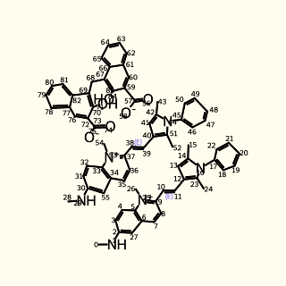 CNc1ccc2c(ccc(/C=C/c3cc(C)n(-c4ccccc4)c3C)[n+]2C)c1.CNc1ccc2c(ccc(/C=C/c3cc(C)n(-c4ccccc4)c3C)[n+]2C)c1.O=C([O-])c1cc2ccccc2c(Cc2c(O)c(C(=O)[O-])cc3ccccc23)c1O